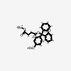 CCCCCCCCCCc1ccc(C(OC(=O)CCC(=O)OC(C)(C)C)(c2ccccc2)c2ccccc2Cl)cc1